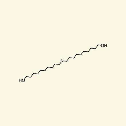 OCCCCCCCCCC[N]CCCCCCCCCCO